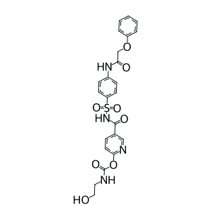 O=C(COc1ccccc1)Nc1ccc(S(=O)(=O)NC(=O)c2ccc(OC(=O)NCCO)nc2)cc1